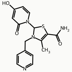 CC1=C(C(N)=O)SC(n2ccc(O)cc2=O)N1Cc1ccncc1